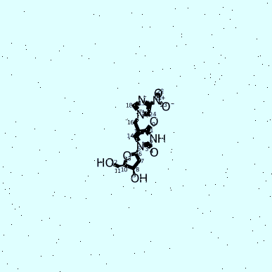 O=c1[nH]c(=O)n([C@H]2C[C@@H](O)[C@@H](CO)O2)cc1Cn1cnc([N+](=O)[O-])c1